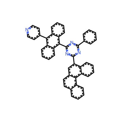 c1ccc(-c2nc(-c3c4ccccc4c(-c4ccncc4)c4ccccc34)nc(-c3cc4ccc5ccccc5c4c4ccccc34)n2)cc1